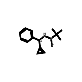 CC(C)(C)[S+]([O-])N[C@@H](C1=CC1)c1ccccc1